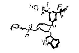 COCCNC(=O)CN1CCN(C(=O)c2cc(C(F)(F)F)cc(C(F)(F)F)c2)[C@H](Cc2c[nH]c3ccccc23)C1.Cl